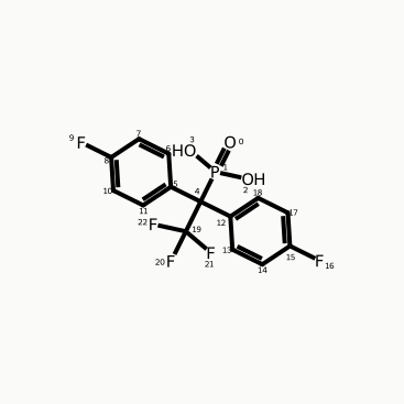 O=P(O)(O)C(c1ccc(F)cc1)(c1ccc(F)cc1)C(F)(F)F